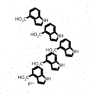 O=C(O)c1cccc2[nH]ccc12.O=C(O)c1cccc2[nH]ccc12.O=C(O)c1cccc2[nH]ccc12.O=C(O)c1cccc2[nH]ccc12.O=C(O)c1cccc2[nH]ccc12.[P+5]